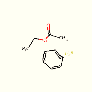 CCOC(C)=O.S.c1ccccc1